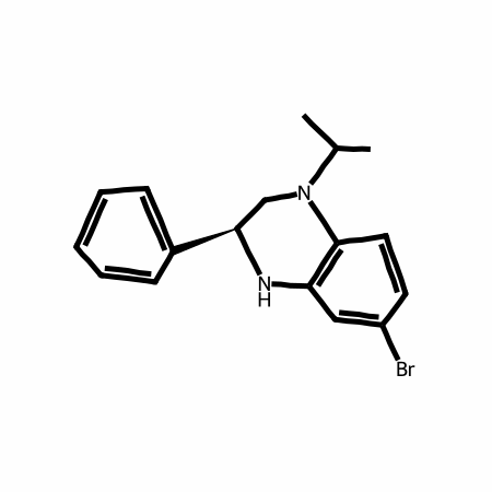 CC(C)N1C[C@H](c2ccccc2)Nc2cc(Br)ccc21